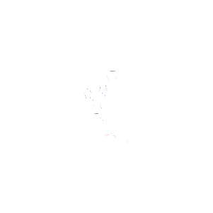 C[C@H]1c2cc(N3C[C@@H](CN(C)C)[C@H](O)C3)ccc2-n2ccnc2-c2cc(-c3ccc(F)cc3)cn21